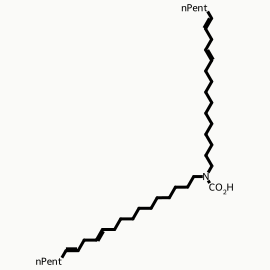 CCCCCC=CCC=CCCCCCCCCCCN(CCCCCCCCCCC=CCC=CCCCCC)C(=O)O